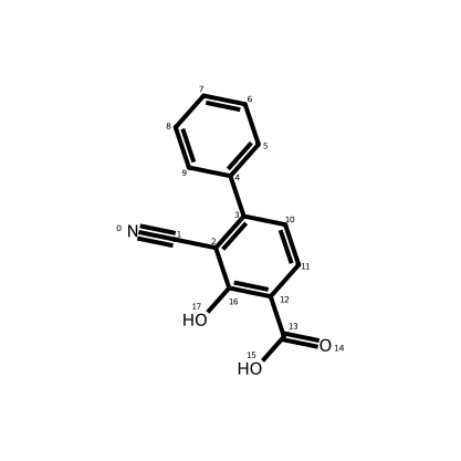 N#Cc1c(-c2ccccc2)ccc(C(=O)O)c1O